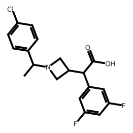 CC(c1ccc(Cl)cc1)N1CC(C(C(=O)O)c2cc(F)cc(F)c2)C1